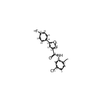 Cc1ccc(Cl)cc1NC(=O)c1cc(-c2ccc(F)cc2)on1